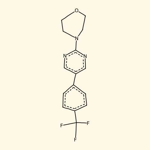 FC(F)(F)c1ccc(-c2cnc(N3CCOCC3)nc2)cc1